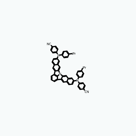 CC(C)c1ccc(N(c2ccc(C#N)cc2)c2ccc3cc4c5cccc6c7cc8ccc(N(c9ccc(C#N)cc9)c9ccc(C(C)C)cc9)cc8cc7n(c4cc3c2)c56)cc1